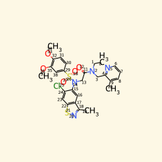 CCN(Cc1ncccc1C)C(=O)CN(c1cc2c(C)nsc2cc1Cl)S(=O)(=O)c1ccc(OC)c(OC)c1